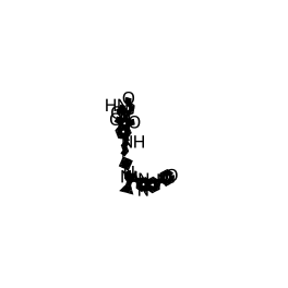 O=C1CCC(N2C(=O)c3ccc(NCCC[C@H]4C[C@@H](n5cc(-c6cnc7ccc(N8CCOCC8)cc7n6)c(C6CC6)n5)C4)cc3C2=O)C(=O)N1